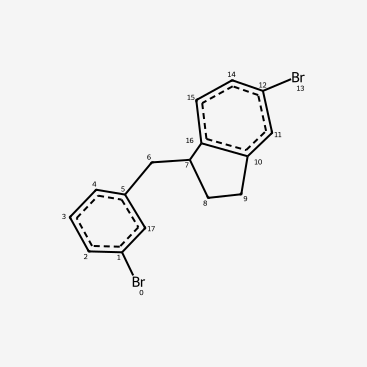 Brc1cccc(CC2CCc3cc(Br)ccc32)c1